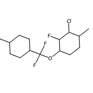 CC1CCC(C(F)(F)OC2CCC(C)C(Cl)C2F)CC1